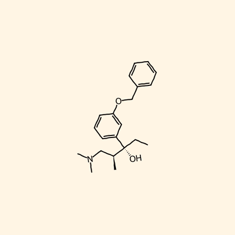 CC[C@](O)(c1cccc(OCc2ccccc2)c1)[C@@H](C)CN(C)C